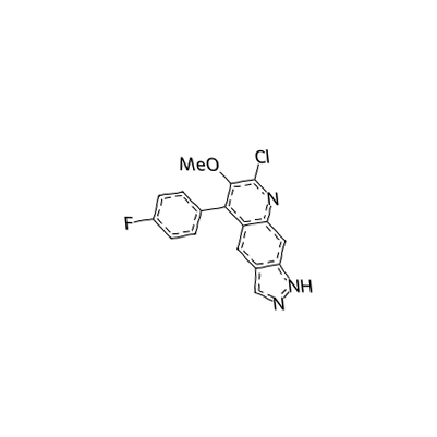 COc1c(Cl)nc2cc3[nH]ncc3cc2c1-c1ccc(F)cc1